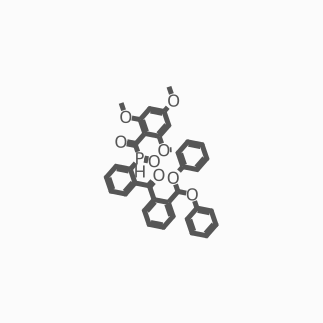 COc1cc(OC)c(C(=O)[PH](=O)c2ccccc2C(=O)c2ccccc2C(Oc2ccccc2)Oc2ccccc2)c(OC)c1